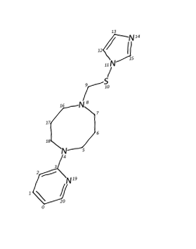 c1ccc(N2CCCN(CSn3ccnc3)CCC2)nc1